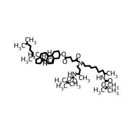 CC(C)CCCC(C)[C@H]1CC[C@H]2[C@@H]3CC=C4C[C@@H](OC(=O)CCC(=O)N(CCCCCCCC(C)NC(=O)OC(C)(C)C)CCC(C)NC(=O)OC(C)(C)C)CC[C@]4(C)[C@H]3CC[C@]12C